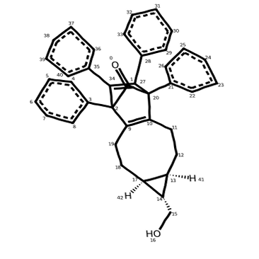 O=C1C2(c3ccccc3)C3=C(CC[C@H]4[C@H](CO)[C@H]4CC3)C1(c1ccccc1)C(c1ccccc1)=C2c1ccccc1